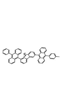 Cc1ccc(-c2c3ccccc3c(-c3ccc4sc5c(-c6c7ccccc7c(-c7ccccc7)c7ccccc67)cccc5c4c3)c3ccccc23)cc1